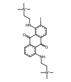 C[N+](C)(C)CCNc1cccc2c1C(=O)c1ccc(I)c(NCC[N+](C)(C)C)c1C2=O